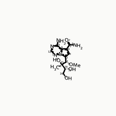 CO[C@@H](c1cc(C(N)=O)c2c(N)ncnn12)[C@](C)(O)[C@H](O)CO